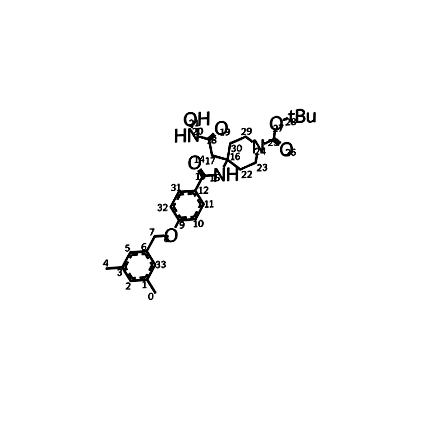 Cc1cc(C)cc(COc2ccc(C(=O)NC3(CC(=O)NO)CCN(C(=O)OC(C)(C)C)CC3)cc2)c1